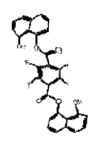 O=C(Oc1cccc2cccc(O)c12)c1c(F)c(F)c(C(=O)Oc2cccc3cccc(O)c23)c(F)c1F